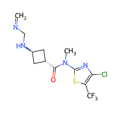 C=NCN[C@H]1C[C@H](C(=O)N(C)c2nc(Cl)c(C(F)(F)F)s2)C1